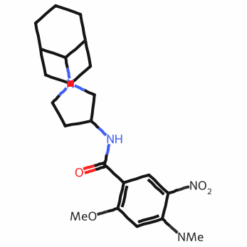 CNc1cc(OC)c(C(=O)NC2CCN(C3C4CCCC3CCC4)C2)cc1[N+](=O)[O-]